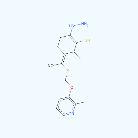 Cc1ncccc1OCS/C(C#N)=C1/CCC(NN)=C(S)C1C